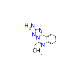 CCc1nc2ccccc2c2nc(N)nn12